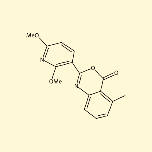 COc1ccc(-c2nc3cccc(C)c3c(=O)o2)c(OC)n1